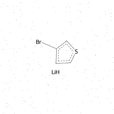 Brc1ccsc1.[LiH]